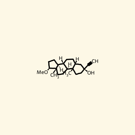 C#C[C@]1(O)CC[C@@]2(C)[C@H](CC[C@@H]3[C@@H]2CC[C@]2(C)[C@@H](OC)CC[C@@H]32)C1